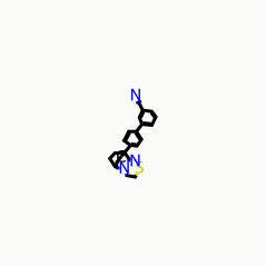 N#Cc1cccc(-c2ccc(C34CCC(CC3)N3CCSN=C34)cc2)c1